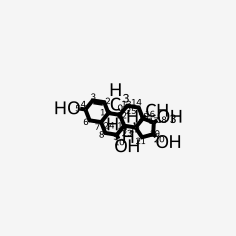 C[C@]12C=CC(O)CC1CC(O)[C@@H]1[C@@H]2CC[C@]2(C)C(O)C(O)C[C@@H]12